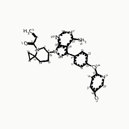 C=CC(=O)N1C[C@@H](n2nc(-c3ccc(Oc4ccc(Cl)cn4)cc3)c3c(N)ncnc32)CCC12CC2